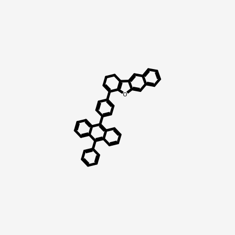 C1=C(c2ccc(-c3c4ccccc4c(-c4ccccc4)c4ccccc34)cc2)c2oc3cc4ccccc4cc3c2CC1